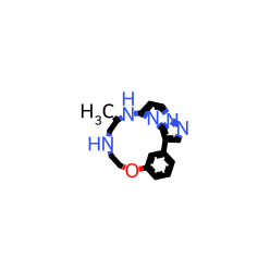 CC1CNCCOc2cccc(c2)-c2cnn3ccc(nc23)N1